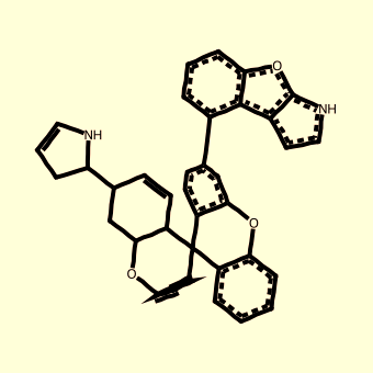 C1=CC2OC3CC(C4CC=CN4)C=CC3C3(c4ccccc4Oc4cc(-c5cccc6oc7[nH]ccc7c56)ccc43)C2C=C1